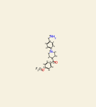 NCc1ccc(N2CCC(C(=O)c3ccc(OC(F)(F)F)cc3)CC2)cc1